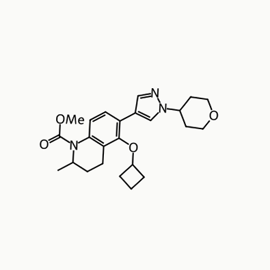 COC(=O)N1c2ccc(-c3cnn(C4CCOCC4)c3)c(OC3CCC3)c2CCC1C